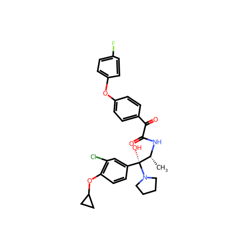 C[C@@H](NC(=O)C(=O)c1ccc(Oc2ccc(F)cc2)cc1)[C@](O)(c1ccc(OC2CC2)c(Cl)c1)N1CCCC1